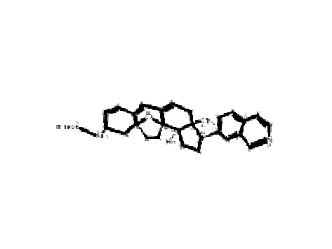 CCCCCCCN[C@@H]1C=CC2=CC3=CC[C@]4(C)[C@@H](c5ccc6ccncc6c5)CC[C@H]4[C@@]34CC[C@]2(C1)O4